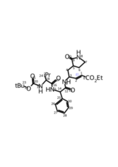 CCOC(=O)/C=C/C(CC1CCNC1=O)NC(=O)C(NC(=O)C(NC(=O)OC(C)(C)C)C(C)C)c1ccccc1